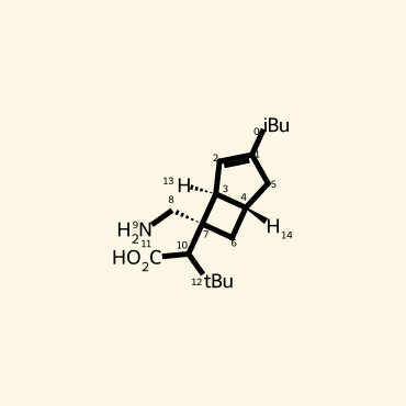 CCC(C)C1=C[C@H]2[C@H](C1)C[C@@]2(CN)C(C(=O)O)C(C)(C)C